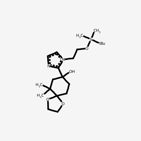 CC1(C)CC(O)(c2nccn2CCO[Si](C)(C)C(C)(C)C)CCC12OCCO2